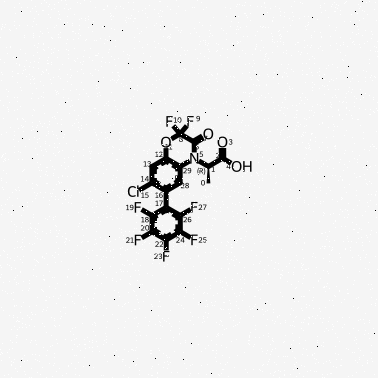 C[C@H](C(=O)O)N1C(=O)C(F)(F)Oc2cc(Cl)c(-c3c(F)c(F)c(F)c(F)c3F)cc21